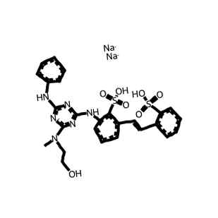 CN(CCO)c1nc(Nc2ccccc2)nc(Nc2cccc(C=Cc3ccccc3S(=O)(=O)O)c2S(=O)(=O)O)n1.[Na].[Na]